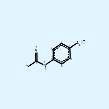 CC(=S)Nc1ccc(C=O)cc1